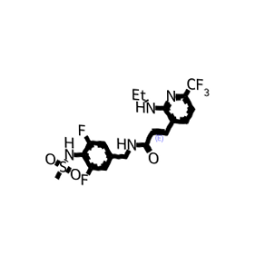 CCNc1nc(C(F)(F)F)ccc1/C=C/C(=O)NCc1cc(F)c(NS(C)(=O)=O)c(F)c1